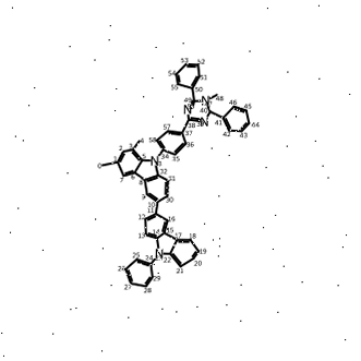 Cc1cc(C)c2c(c1)c1cc(-c3ccc4c(c3)c3ccccc3n4-c3ccccc3)ccc1n2-c1ccc(C2=NC(c3ccccc3)N(C)C(c3ccccc3)=N2)cc1